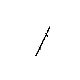 CCCCCCCCCCCCOC(=O)C=CCCCCCCCCCCCCCCCCC(=O)OCCCCCCCCCCCC